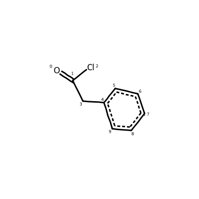 O=C(Cl)Cc1cc[c]cc1